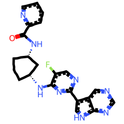 O=C(N[C@H]1CCC[C@@H](Nc2nc(-c3c[nH]c4ncncc34)ncc2F)C1)c1ccccn1